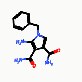 NC(=O)c1cn(Cc2ccccc2)c(N)c1C(N)=O